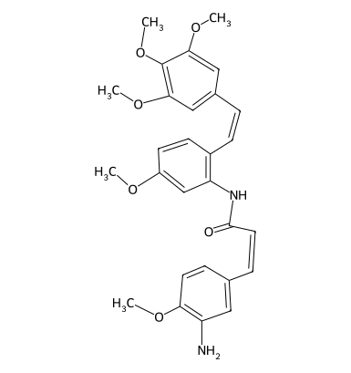 COc1ccc(/C=C\c2cc(OC)c(OC)c(OC)c2)c(NC(=O)/C=C\c2ccc(OC)c(N)c2)c1